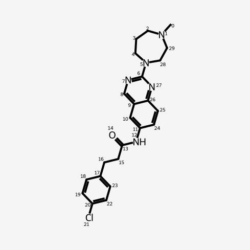 CN1CCCN(c2ncc3cc(NC(=O)CCc4ccc(Cl)cc4)ccc3n2)CC1